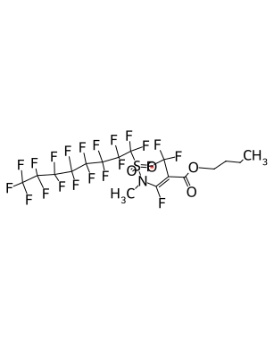 CCCCOC(=O)C(=C(F)N(C)S(=O)(=O)C(F)(F)C(F)(F)C(F)(F)C(F)(F)C(F)(F)C(F)(F)C(F)(F)C(F)(F)F)C(F)(F)F